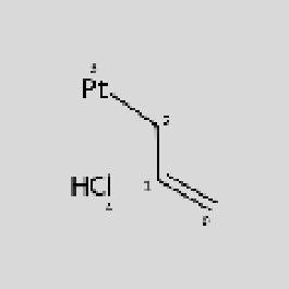 C=C[CH2][Pt].Cl